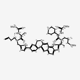 C=CC[C@H](C)N(Cc1ncc(-c2ccc3c(c2)COc2cc4c(ccc5nc([C@H](C)N(C[C@H](C)COC)C(=O)[C@@H](NC(=O)OC)C6CCOCC6)[nH]c54)cc2-3)[nH]1)C(=O)[C@@H](NC(=O)OC)C(C)C